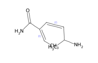 C/C=C(\C=C/C(C)N)C(N)=O